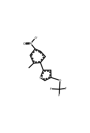 Cc1cc([N+](=O)[O-])ccc1-c1cc(OC(F)(F)F)cs1